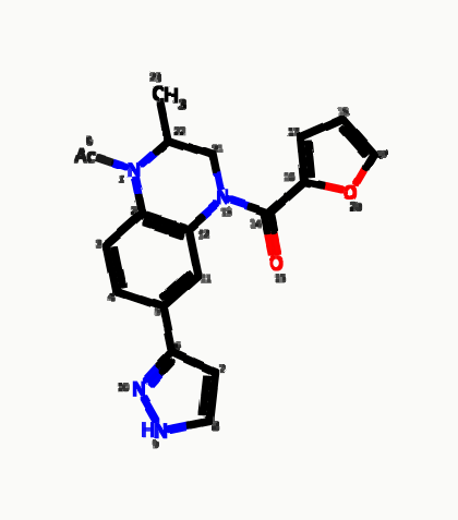 CC(=O)N1c2ccc(-c3cc[nH]n3)cc2N(C(=O)c2ccco2)CC1C